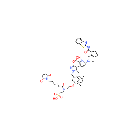 Cc1c(-c2ccc(N3CCc4cccc(C(=O)Nc5nc6ccccc6s5)c4C3)nc2C(=O)O)cnn1CC12CC3(OCCN(CCS(=O)(=O)O)C(=O)CCCCCN4C(=O)C=CC4=O)CC4(C)CC(C)(C1)C4(C2)C3